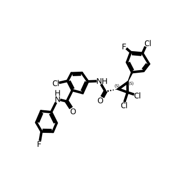 O=C(Nc1ccc(F)cc1)c1cc(NC(=O)[C@@H]2[C@@H](c3ccc(Cl)c(F)c3)C2(Cl)Cl)ccc1Cl